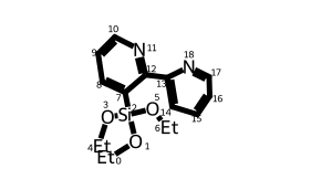 CCO[Si](OCC)(OCC)c1cccnc1-c1ccccn1